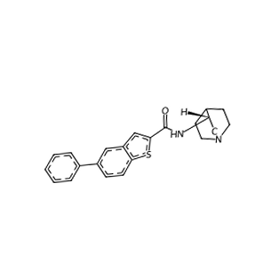 O=C(N[C@H]1CN2CCC1CC2)c1cc2cc(-c3ccccc3)ccc2s1